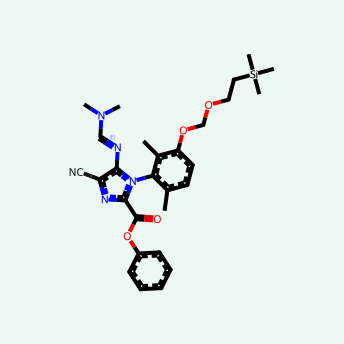 Cc1ccc(OCOCC[Si](C)(C)C)c(C)c1-n1c(C(=O)Oc2ccccc2)nc(C#N)c1/N=C/N(C)C